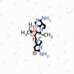 C/C=c1/nc(N)c(Br)c/c1=C/CC1OC(C)(C)O[C@H]1[C@@H](CC)n1ccc2c(N)ncnc21